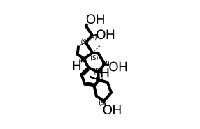 C[C@]12C[C@@H](O)[C@@H]3C(=CC=C4C[C@@H](O)CC[C@]43C)[C@@H]1CC[C@@H]2[C@@H](O)CO